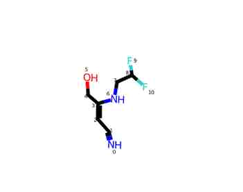 N=C/C=C(/CO)NCC(F)F